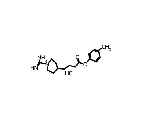 Cc1ccc(OC(=O)CCCC2CCN(C(=N)N)CC2)cc1.Cl